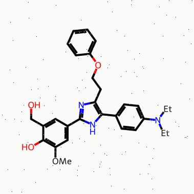 CCN(CC)c1ccc(-c2[nH]c(-c3cc(CO)c(O)c(OC)c3)nc2CCOc2ccccc2)cc1